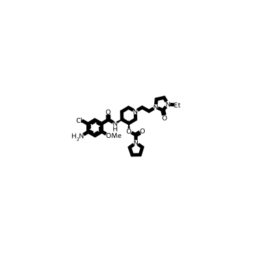 CCN1CCN(CCN2CC[C@H](NC(=O)c3cc(Cl)c(N)cc3OC)[C@H](OC(=O)N3CCCC3)C2)C1=O